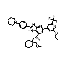 CCOc1cc(-c2cc(N(C)CC3(COC)CCCCC3)c3[nH]c(-c4ccc(N5CCCCC5)cc4)nc3n2)cc(C(F)(F)F)n1